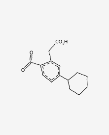 O=C(O)Cc1cc(C2CCCCC2)ccc1I(=O)=O